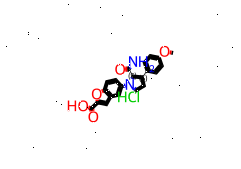 COc1ccc([C@@H]2CCN(c3ccc4oc(C(=O)O)cc4c3)[C@@H]2C(N)=O)cc1.Cl